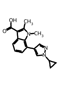 Cc1c(C(=O)O)c2cccc(-c3cnn(C4CC4)c3)c2n1C